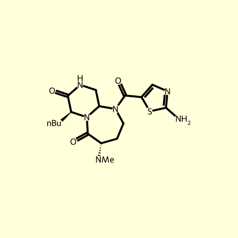 CCCC[C@H]1C(=O)NCC2N(C(=O)c3cnc(N)s3)CC[C@H](NC)C(=O)N21